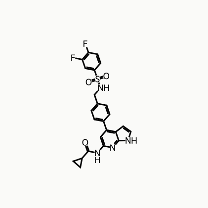 O=C(Nc1cc(-c2ccc(CNS(=O)(=O)c3ccc(F)c(F)c3)cc2)c2cc[nH]c2n1)C1CC1